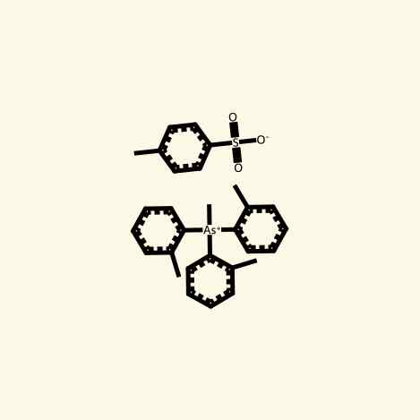 Cc1ccc(S(=O)(=O)[O-])cc1.Cc1ccccc1[As+](C)(c1ccccc1C)c1ccccc1C